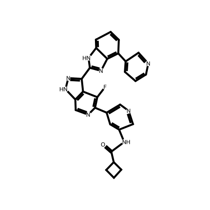 O=C(Nc1cncc(-c2ncc3[nH]nc(-c4nc5c(-c6cccnc6)cccc5[nH]4)c3c2F)c1)C1CCC1